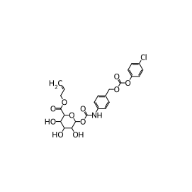 C=CCOC(=O)C1OC(OC(=O)Nc2ccc(COC(=O)Oc3ccc(Cl)cc3)cc2)C(O)C(O)C1O